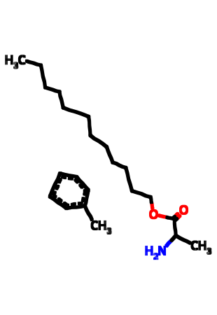 CCCCCCCCCCCCOC(=O)C(C)N.Cc1ccccc1